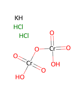 Cl.Cl.[KH].[O]=[Cr](=[O])([OH])[O][Cr](=[O])(=[O])[OH]